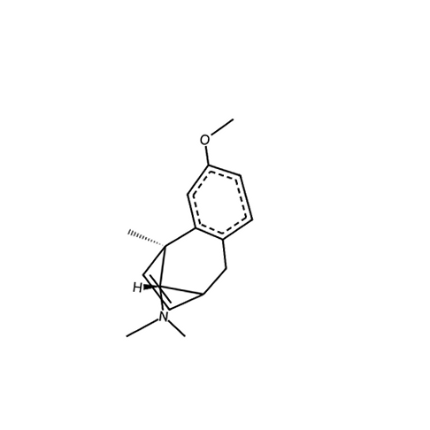 COc1ccc2c(c1)[C@]1(C)C=CC(C2)[C@@H]1N(C)C